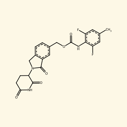 Cc1cc(F)c(NC(=O)OCc2ccc3c(c2)C(=O)N(C2CCC(=O)NC2=O)C3)c(F)c1